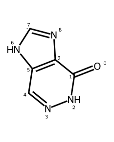 O=c1[nH]ncc2[nH][c]nc12